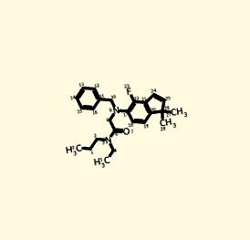 CCCN(CC)C(=O)CN(Cc1ccccc1)c1ccc2c(c1F)C=CC2(C)C